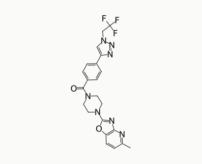 Cc1ccc2oc(N3CCN(C(=O)c4ccc(-c5cn(CC(F)(F)F)nn5)cc4)CC3)nc2n1